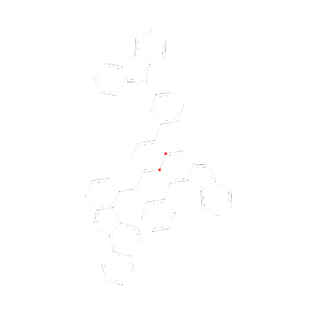 c1cc(-c2ccc(N(c3ccccc3-c3cccc4oc5ccccc5c34)c3cccc4oc5c6ccccc6ccc5c34)cc2)cc(-n2c3ccccc3c3ccccc32)c1